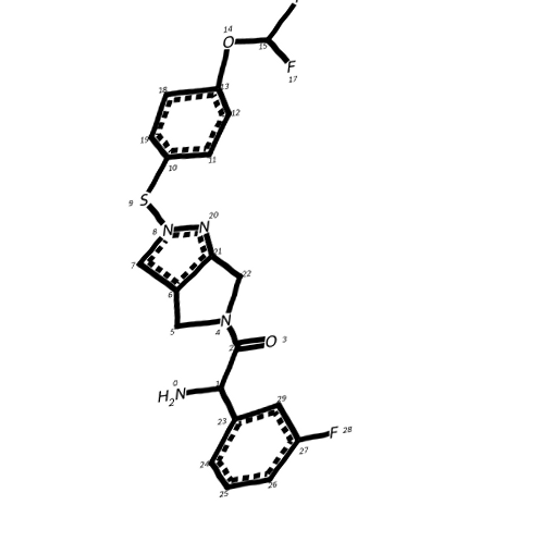 NC(C(=O)N1Cc2cn(Sc3ccc(OC(F)F)cc3)nc2C1)c1cccc(F)c1